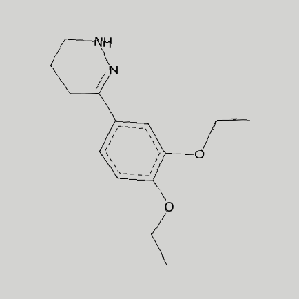 CCOc1ccc(C2=NNCCC2)cc1OCC